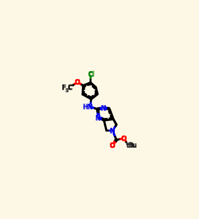 CC(C)(C)OC(=O)N1Cc2cnc(Nc3ccc(Cl)c(OC(F)(F)F)c3)nc2C1